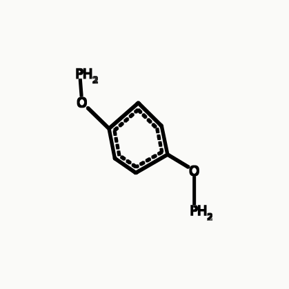 POc1ccc(OP)cc1